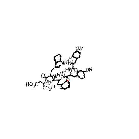 NC(Cc1ccc(O)cc1)C(=O)NC(Cc1ccc(O)cc1)C(=O)NC(Cc1ccccc1)C(=O)NC(Cc1c[nH]c2ccccc12)C(=O)NC(CC(=O)O)C(=O)O